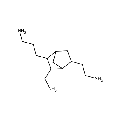 NCCCC1C2CC(CCN)C(C2)C1CN